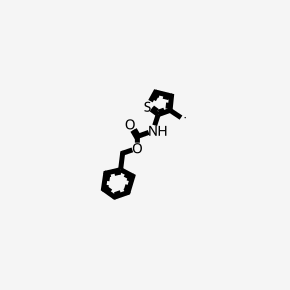 [CH2]c1ccsc1NC(=O)OCc1ccccc1